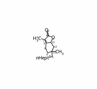 CCCCCCCCC1(C)CCC2=C(C)C(=O)OC2C1